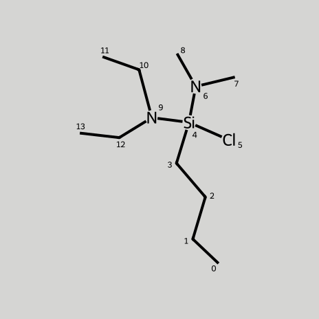 CCCC[Si](Cl)(N(C)C)N(CC)CC